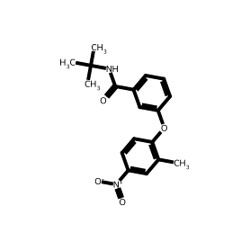 Cc1cc([N+](=O)[O-])ccc1Oc1cccc(C(=O)NC(C)(C)C)c1